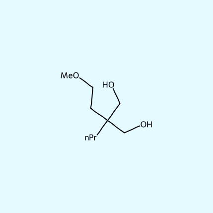 CCCC(CO)(CO)CCOC